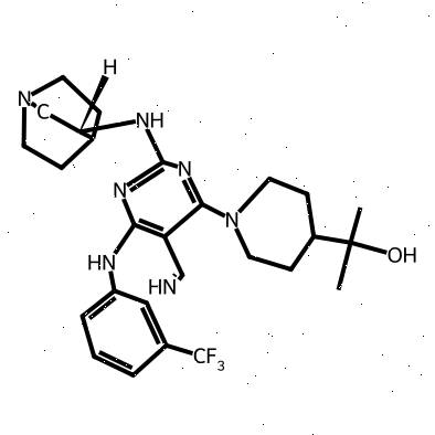 CC(C)(O)C1CCN(c2nc(N[C@H]3CN4CCC3CC4)nc(Nc3cccc(C(F)(F)F)c3)c2C=N)CC1